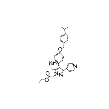 CCOC(=O)Cn1nc(-c2ccncc2)c(-c2ccc(OCc3ccc(C(C)C)cc3)cc2)c1CN